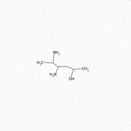 CC(O)CC(N)C(C)N